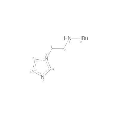 CCC(C)NCCn1ccnc1